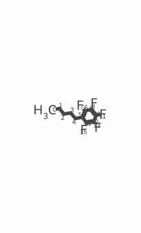 CCCCCc1c(F)c(F)c(F)c(F)c1F